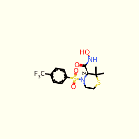 CC1(C)SCCN(S(=O)(=O)c2ccc(C(F)(F)F)cc2)[C@H]1C(=O)NO